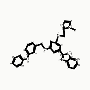 Cn1ccnc1COc1cc(OCc2cccc(Oc3ccccc3)c2)cc(-c2nc3cccnc3[nH]2)c1